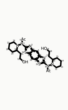 CC(=O)N(c1nc2cc3nc(N(C(C)=O)N4CCCCC4CCO)sc3cc2s1)N1CCCCC1CCO